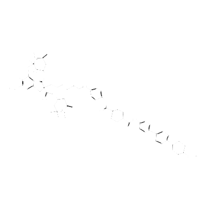 C=C1CC(OC(=O)C(CCCCCCOc2ccc(OC(=O)C3CCC(C(=O)Oc4ccc(-c5ccc(C6CCC(CCCCC)CC6)cc5)cc4)CC3)cc2)(Cc2cc(C(C)(C)C)c(O)c(C(C)(C)C)c2)C(=O)OC2CC(=C)N(C)C(C)(C)C2)CC(C)(C)N1C